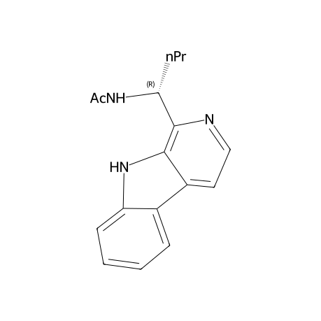 CCC[C@@H](NC(C)=O)c1nccc2c1[nH]c1ccccc12